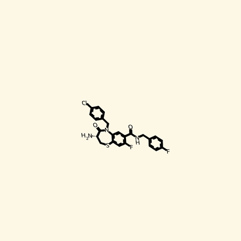 N[C@H]1CSc2cc(F)c(C(=O)NCc3ccc(F)cc3)cc2N(Cc2ccc(Cl)cc2)C1=O